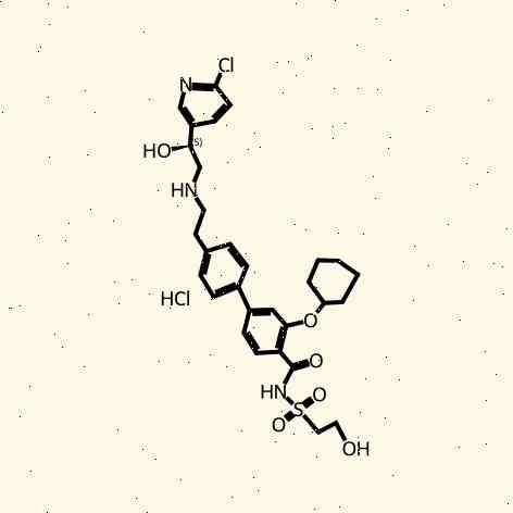 Cl.O=C(NS(=O)(=O)CCO)c1ccc(-c2ccc(CCNC[C@@H](O)c3ccc(Cl)nc3)cc2)cc1OC1CCCCC1